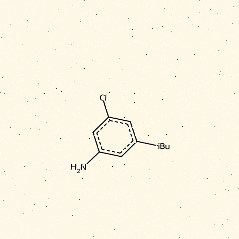 CCC(C)c1cc(N)cc(Cl)c1